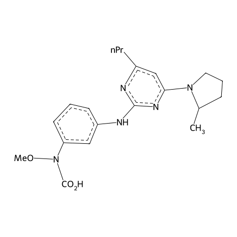 CCCc1cc(N2CCCC2C)nc(Nc2cccc(N(OC)C(=O)O)c2)n1